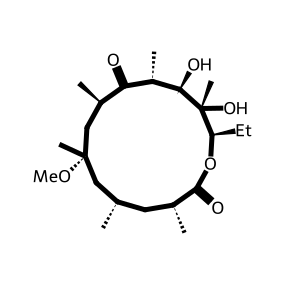 CC[C@H]1OC(=O)[C@H](C)C[C@H](C)C[C@](C)(OC)C[C@@H](C)C(=O)[C@H](C)[C@@H](O)[C@]1(C)O